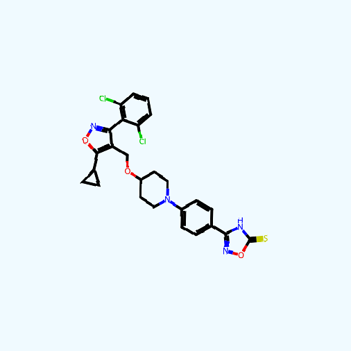 S=c1[nH]c(-c2ccc(N3CCC(OCc4c(-c5c(Cl)cccc5Cl)noc4C4CC4)CC3)cc2)no1